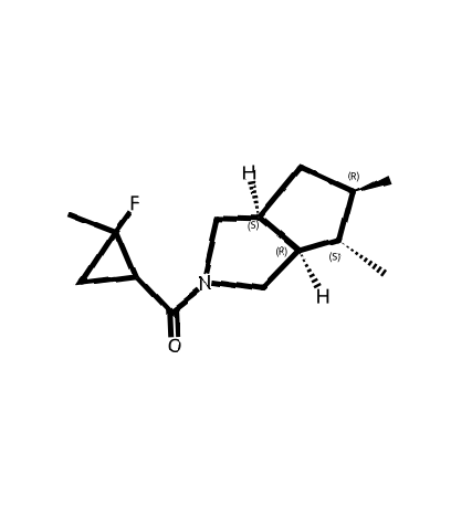 C[C@@H]1[C@H]2CN(C(=O)C3CC3(C)F)C[C@H]2C[C@H]1C